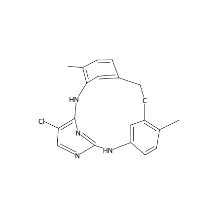 Cc1ccc2cc1CCc1ccc(C)c(c1)Nc1nc(ncc1Cl)N2